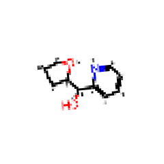 OC(c1ccccn1)C1CCCO1